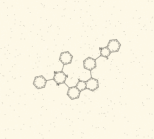 c1ccc(-c2nc(-c3ccccc3)nc(-c3cccc4c3sc3c(-c5cccc(-c6nc7ccccc7s6)c5)cccc34)n2)cc1